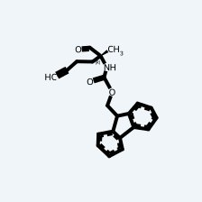 C#CCC[C@](C)(C=O)NC(=O)OCC1c2ccccc2-c2ccccc21